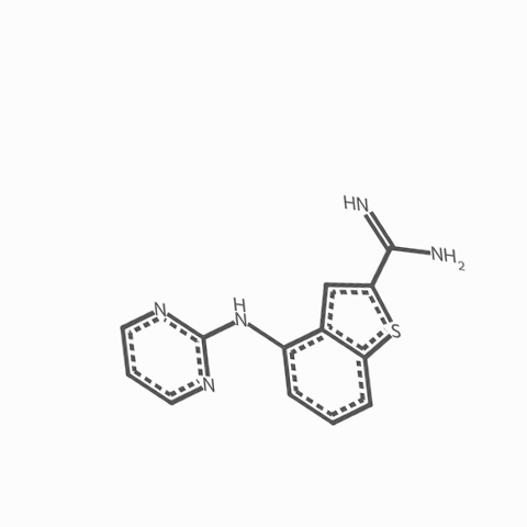 N=C(N)c1cc2c(Nc3ncccn3)cccc2s1